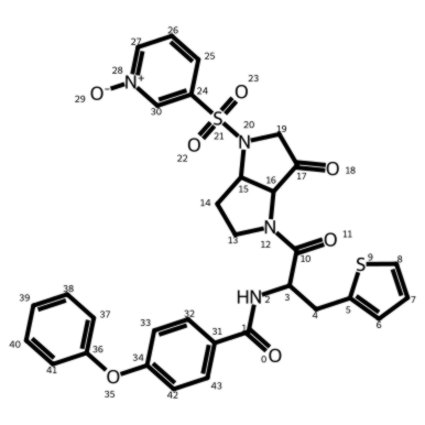 O=C(NC(Cc1cccs1)C(=O)N1CCC2C1C(=O)CN2S(=O)(=O)c1ccc[n+]([O-])c1)c1ccc(Oc2ccccc2)cc1